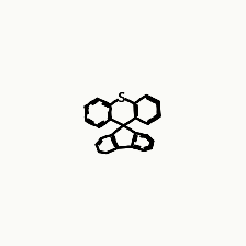 C1=C=CC2=C(C=1)Sc1ccccc1C21C2=C(CCC=C2)c2ccccc21